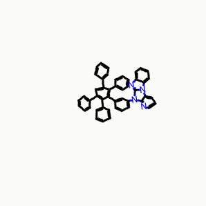 c1ccc(-c2cc(-c3ccccc3)c(-c3ccccc3)c(-c3cccc(-n4c5ncccc5n5c6ccccc6nc45)c3)c2-c2ccccc2)cc1